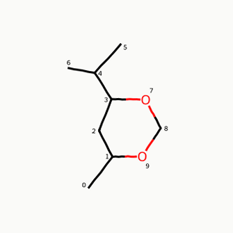 CC1CC(C(C)C)OCO1